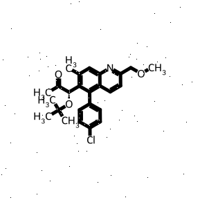 COCc1ccc2c(-c3ccc(Cl)cc3)c([C@H](OC(C)(C)C)C(C)=O)c(C)cc2n1